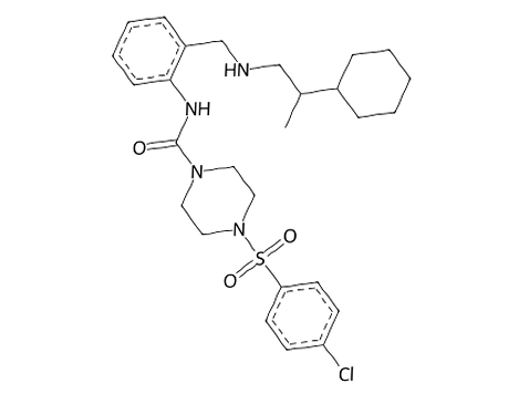 CC(CNCc1ccccc1NC(=O)N1CCN(S(=O)(=O)c2ccc(Cl)cc2)CC1)C1CCCCC1